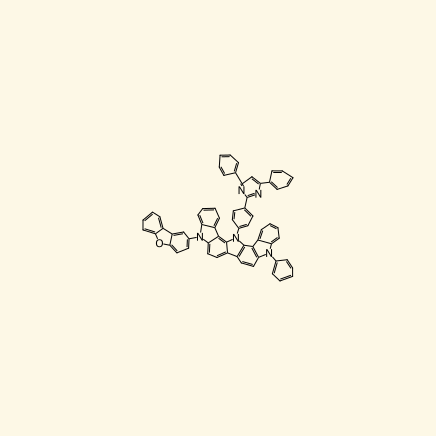 c1ccc(-c2cc(-c3ccccc3)nc(-c3ccc(-n4c5c(ccc6c5c5ccccc5n6-c5ccccc5)c5ccc6c(c7ccccc7n6-c6ccc7oc8ccccc8c7c6)c54)cc3)n2)cc1